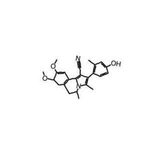 COC1=CC2=C(CC1OC)CC(C)n1c(C)c(-c3ccc(O)cc3C)c(C#N)c12